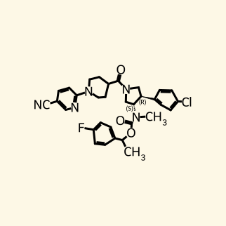 CC(OC(=O)N(C)[C@@H]1CN(C(=O)C2CCN(c3ccc(C#N)cn3)CC2)C[C@H]1c1ccc(Cl)cc1)c1ccc(F)cc1